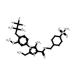 CCc1nc(C(=O)NCC2CCC(S(C)(=O)=O)CC2)c(C)n1-c1ccc(CC(C)(C)C(F)(F)F)c(OC)c1